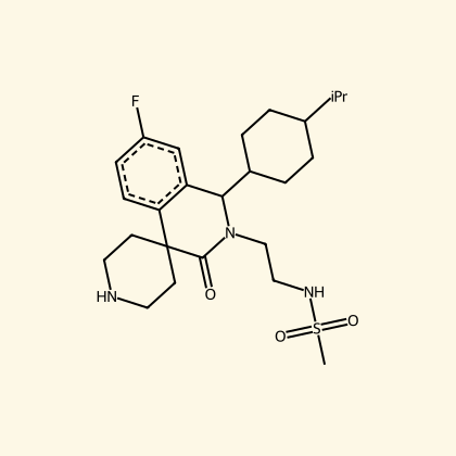 CC(C)C1CCC(C2c3cc(F)ccc3C3(CCNCC3)C(=O)N2CCNS(C)(=O)=O)CC1